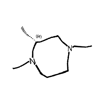 C[C@@H]1CN(C)CCN1C